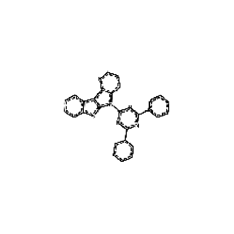 c1ccc(-c2nc(-c3ccccc3)nc(-n3c4cccnc4c4c5ccccc5sc43)n2)cc1